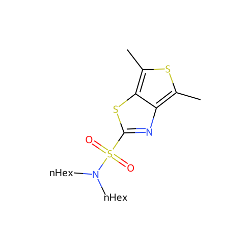 CCCCCCN(CCCCCC)S(=O)(=O)c1nc2c(C)sc(C)c2s1